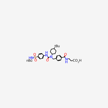 CCCCNS(=O)(=O)c1ccc(NC(=O)N(Cc2ccc(C(=O)NCCC(=O)O)cc2)C2CCC(C(C)(C)C)CC2)cc1